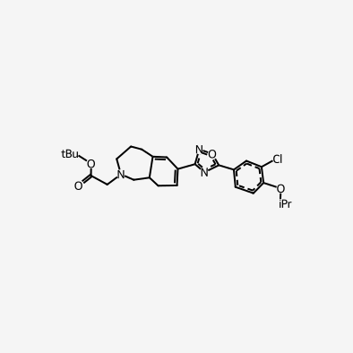 CC(C)Oc1ccc(-c2nc(C3=CCC4CN(CC(=O)OC(C)(C)C)CCCC4=C3)no2)cc1Cl